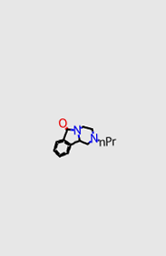 CCCN1CCN2C(=O)c3ccccc3C2C1